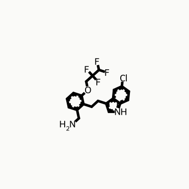 NCc1cccc(OCC(F)(F)C(F)F)c1CCc1c[nH]c2ccc(Cl)cc12